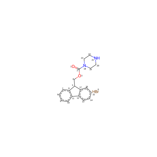 Br.O=C(OCC1c2ccccc2-c2ccccc21)N1CCNCC1